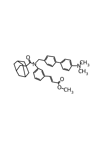 COC(=O)/C=C/c1cccc(N(Cc2ccc(-c3ccc(N(C)C)cc3)cc2)C(=O)C23CC4CC(CC(C4)C2)C3)c1